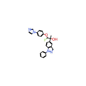 CC(O)(c1ccc2c(cnn2-c2ccccc2)c1)C(F)Oc1ccc(-n2ccnc2)cc1